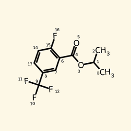 CC(C)OC(=O)c1cc(C(F)(F)F)ccc1F